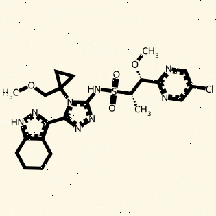 COCC1(n2c(NS(=O)(=O)[C@@H](C)[C@H](OC)c3ncc(Cl)cn3)nnc2-c2n[nH]c3c2CCCC3)CC1